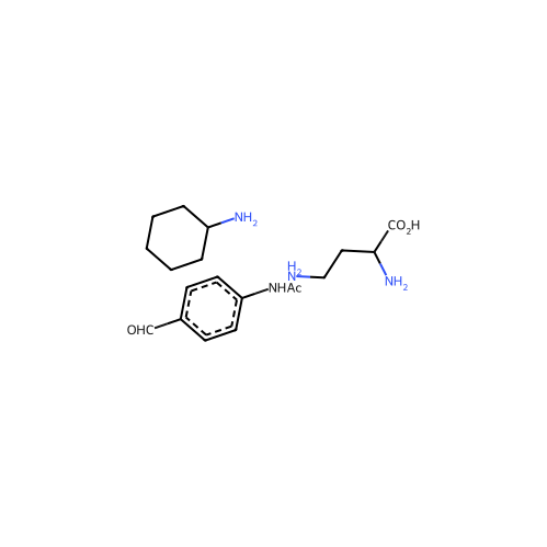 CC(=O)Nc1ccc(C=O)cc1.NC1CCCCC1.NCCC(N)C(=O)O